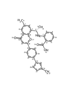 Cc1cc([C@H](C)Nc2ccccc2C(=O)O)c2oc(-c3ccc(-c4cn(C)cn4)cc3)cc(=O)c2c1